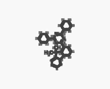 CC1(C)c2ccccc2-c2cccc(-c3nc(-c4ccccc4)nc(-c4ccccc4)n3)c21